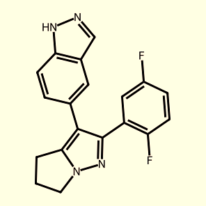 Fc1ccc(F)c(-c2nn3c(c2-c2ccc4[nH]ncc4c2)CCC3)c1